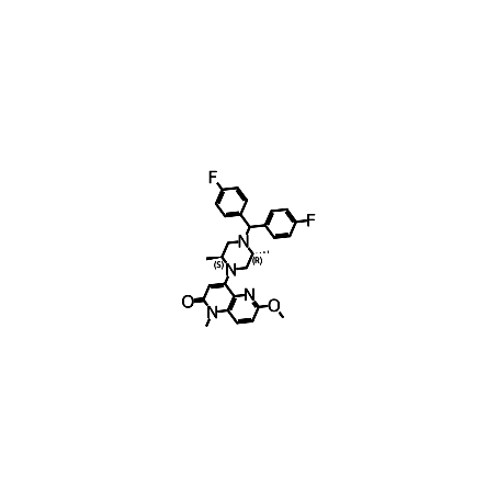 COc1ccc2c(n1)c(N1C[C@@H](C)N(C(c3ccc(F)cc3)c3ccc(F)cc3)C[C@@H]1C)cc(=O)n2C